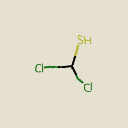 S[C](Cl)Cl